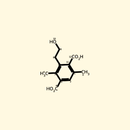 Cc1cc(C(=O)O)c(C)c(CCO)c1C(=O)O